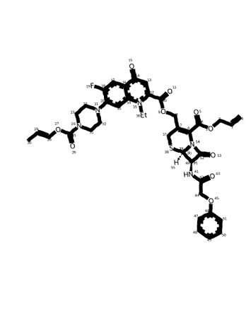 C=CCOC(=O)C1=C(COC(=O)c2cc(=O)c3cc(F)c(N4CCN(C(=O)OC=CC)CC4)cc3n2CC)CS[C@@H]2[C@H](NC(=O)COc3ccccc3)C(=O)N12